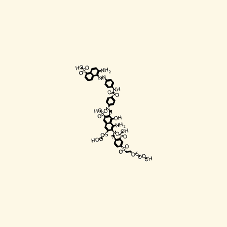 Nc1ccc2c(S(=O)(=O)O)cccc2c1/N=N/c1ccc(NS(=O)(=O)c2ccc(/N=N/c3c(S(=O)(=O)O)cc4cc(SOOO)c(/N=N/c5ccc(S(=O)(=O)CCOSOOO)cc5S(=O)(=O)O)c(N)c4c3O)cc2)cc1